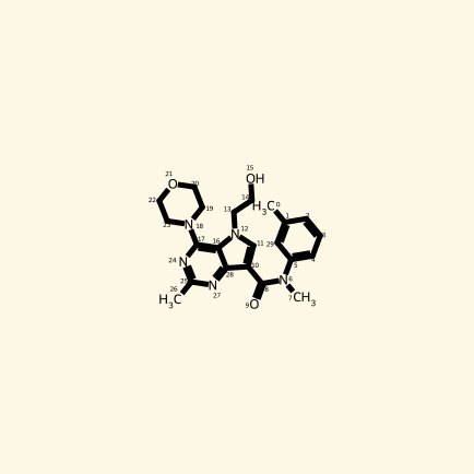 Cc1cccc(N(C)C(=O)c2cn(CCO)c3c(N4CCOCC4)nc(C)nc23)c1